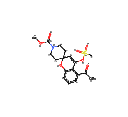 COC(=O)c1cccc2c1C(OS(C)(=O)=O)=CC1(CCN(C(=O)OC(C)(C)C)CC1)O2